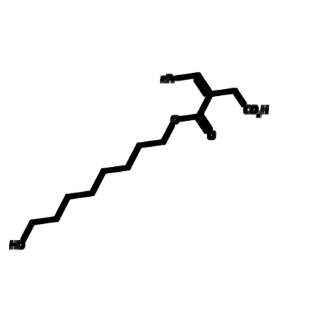 CCCC=C(CC(=O)O)C(=O)OCCCCCCCCO